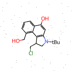 CC(C)(C)N1CC(CCl)c2c1cc(O)c1cccc(CO)c21